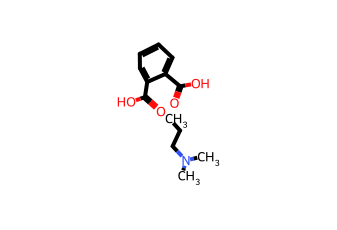 CCCN(C)C.O=C(O)c1ccccc1C(=O)O